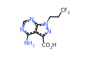 Nc1ncnc2c1c(C(=O)O)nn2CCC(F)(F)F